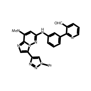 CNc1cc(Nc2cccc(-c3ncccc3C=O)c2)nn2c(-c3cn(C(C)C)nn3)cnc12